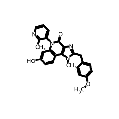 COc1ccc(Cc2nc3c(=O)n(-c4cccnc4C)c4cc(O)ccc4c3n2C)cc1